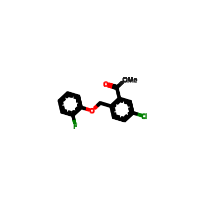 COC(=O)c1cc(Cl)ccc1COc1ccccc1F